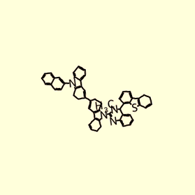 CN1C(n2c3c(c4c2CCC(C2=Cc5c(n(-c6ccc7ccccc7c6)c6ccccc56)CC2)=C4)C=CCC3)=Nc2ccccc2C1c1cccc2c3c(sc12)C=CCC3